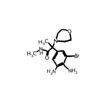 CNC(=O)C(C)(c1cc(N)c(N)c(Br)c1)N1CCOCC1